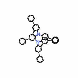 c1ccc(-c2ccc(-n3c4ccc(-c5ccccc5)cc4c4cc(-c5ccccc5)cc(-n5c6ccc(-c7ccccc7)cc6c6cc(-c7ccccc7)ccc65)c43)cc2)cc1